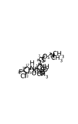 CN(C)CCOc1ccc([C@@H]2C[C@H](C(=O)Nc3ccc(F)c(Cl)c3)N(C)S(=O)(=O)N2)s1